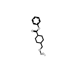 O=C(Oc1ccccc1)C1CCC(CO[N+](=O)[O-])CC1